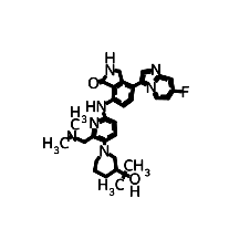 CN(C)Cc1nc(Nc2ccc(-c3cnc4cc(F)ccn34)c3c2C(=O)NC3)ccc1N1CCCC(C(C)(C)O)C1